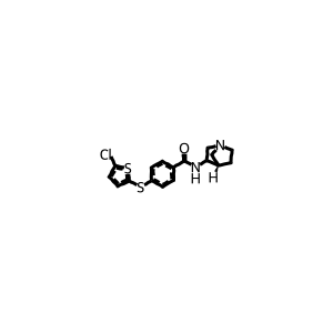 O=C(NC1CN2CC[C@H]1C2)c1ccc(Sc2ccc(Cl)s2)cc1